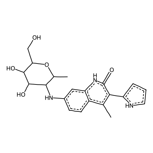 Cc1c(-c2ccc[nH]2)c(=O)[nH]c2cc(NC3C(C)OC(CO)C(O)C3O)ccc12